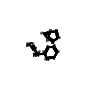 C#CNc1ccccn1.c1cc2cc-2c1